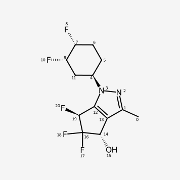 Cc1nn([C@@H]2CC[C@@H](F)[C@@H](F)C2)c2c1[C@H](O)C(F)(F)[C@H]2F